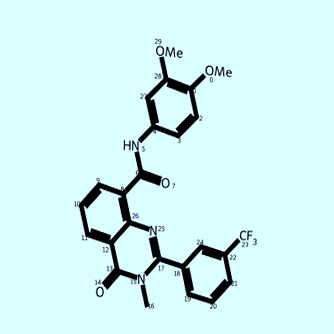 COc1ccc(NC(=O)c2cccc3c(=O)n(C)c(-c4cccc(C(F)(F)F)c4)nc23)cc1OC